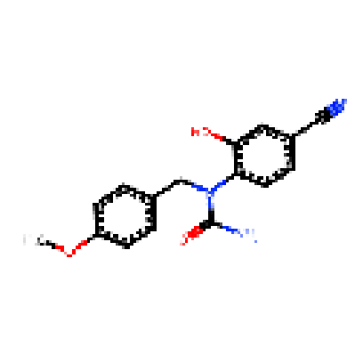 COc1ccc(CN(C(N)=O)c2ccc(C#N)cc2O)cc1